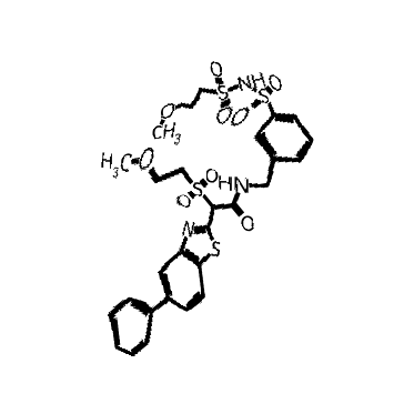 COCCS(=O)(=O)NS(=O)(=O)c1cccc(CNC(=O)C(c2nc3cc(-c4ccccc4)ccc3s2)S(=O)(=O)CCOC)c1